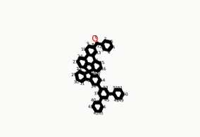 O=C(c1ccccc1)c1ccc2c(c1)c1cccc3c1c1c(cccc21)C31c2ccccc2-c2cc(-c3cc(-c4ccccc4)cc(-c4ccccc4)c3)ccc21